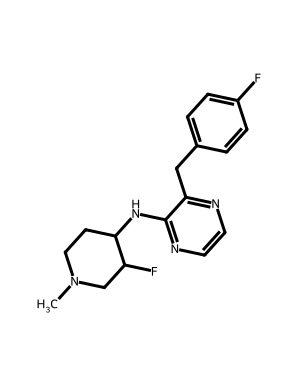 CN1CCC(Nc2nccnc2Cc2ccc(F)cc2)C(F)C1